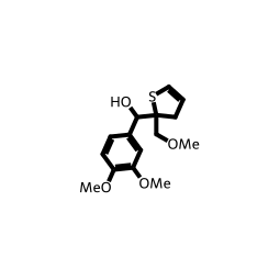 COCC1(C(O)c2ccc(OC)c(OC)c2)CC=CS1